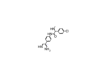 CNC(C(=O)Nc1ccc(/C(C=N)=C/N)cc1)c1ccc(Cl)cc1